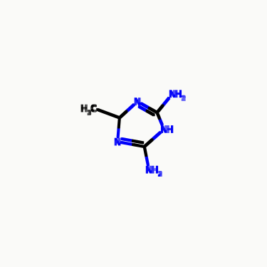 CC1N=C(N)NC(N)=N1